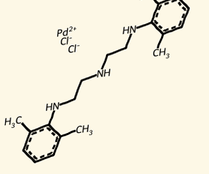 Cc1cccc(C)c1NCCNCCNc1c(C)cccc1C.[Cl-].[Cl-].[Pd+2]